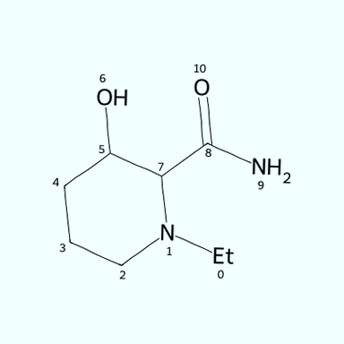 CCN1CCCC(O)C1C(N)=O